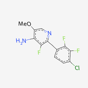 COc1cnc(-c2ccc(Cl)c(F)c2F)c(F)c1N